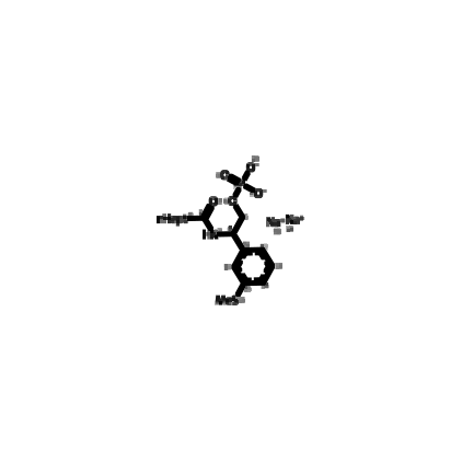 CCCCCCCC(=O)NC(COP(=O)([O-])[O-])c1cccc(SC)c1.[Na+].[Na+]